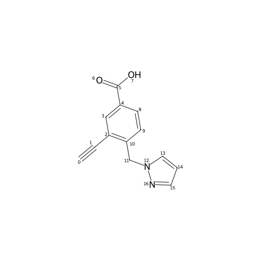 C#Cc1cc(C(=O)O)ccc1Cn1cccn1